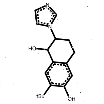 CC(C)(C)c1cc2c(cc1O)CCC(n1ccnc1)C2O